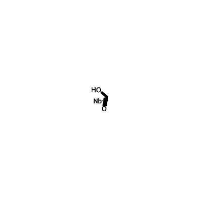 O=CO.[Nb]